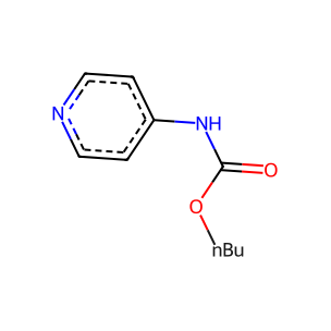 CCCCOC(=O)Nc1ccncc1